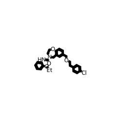 CCOc1ccccc1NC(=O)N1CCOc2ccc(COCCc3ccc(Cl)cc3)cc2C1